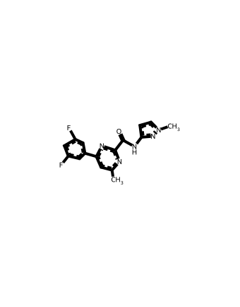 Cc1cc(-c2cc(F)cc(F)c2)nc(C(=O)Nc2ccn(C)n2)n1